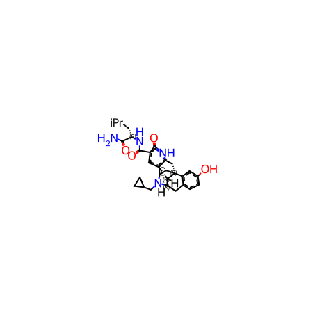 CC(C)C[C@H](NC(=O)c1cc2c([nH]c1=O)C[C@]13CCN(CC4CC4)[C@H](Cc4ccc(O)cc41)[C@@H]3C2)C(N)=O